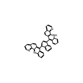 C1=CC2=C(c3ccc(-c4c5ccccc5nc5c4ccc4cccnc45)c4ccccc34)c3ccc4cccnc4c3NC2C=C1